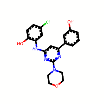 Oc1cccc(-c2cc(Nc3cc(Cl)ccc3O)nc(N3CCOCC3)n2)c1